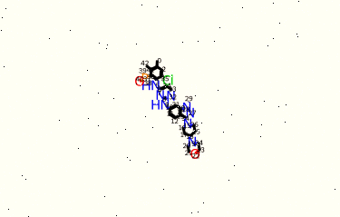 Cc1ccc(Nc2nc(Nc3ccc4c(N5CCC(N6CCOCC6)CC5)nn(C)c4c3)ncc2Cl)c(P(C)(C)=O)c1C